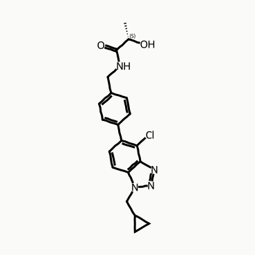 C[C@H](O)C(=O)NCc1ccc(-c2ccc3c(nnn3CC3CC3)c2Cl)cc1